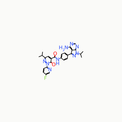 CC(C)c1cc(C(=O)Nc2ccc(-c3nn(C(C)C)c4ncnc(N)c34)cc2)c(=O)n(-c2ccc(F)cn2)n1